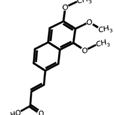 COc1cc2ccc(C=CC(=O)O)cc2c(OC)c1OC